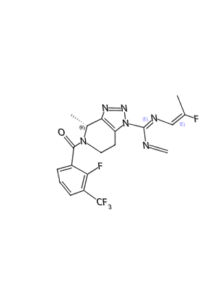 C=N/C(=N\C=C(/C)F)n1nnc2c1CCN(C(=O)c1cccc(C(F)(F)F)c1F)[C@@H]2C